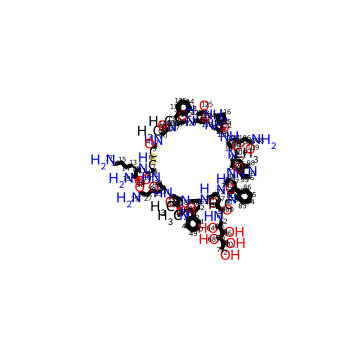 C[C@H]1NC(=O)CSC[C@@H](C(=O)N[C@H](CCCCN)C(N)=O)NC(=O)[C@H](CCCC(N)=O)NC(=O)[C@H]([C@@H](C)O)NC(=O)[C@H](Cc2cn(C)c3ccccc23)NC(=O)[C@H](CCC(=O)NC[C@H](O)[C@@H](O)[C@H](O)[C@H](O)CO)NC(=O)[C@H](Cc2cn(C)c3ccccc23)NC(=O)[C@H](Cc2cccnc2)N(C)C(=O)[C@H](CCCC(N)=O)NC(=O)[C@H](C2CCC2)NC(=O)[C@H](CC(N)=O)NC(=O)[C@H](Cc2ccccc2)N(C)C1=O